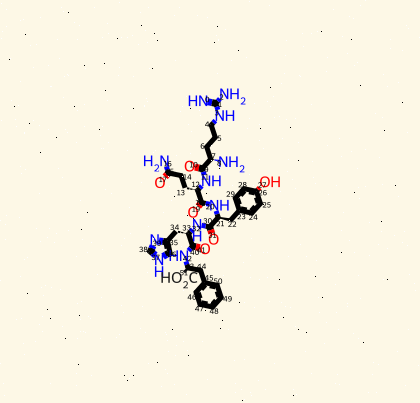 N=C(N)NCCC[C@H](N)C(=O)N[C@@H](CCC(N)=O)C(=O)N[C@@H](Cc1ccc(O)cc1)C(=O)N[C@@H](Cc1c[nH]cn1)C(=O)N[C@@H](Cc1ccccc1)C(=O)O